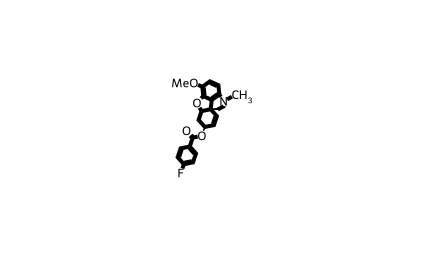 COc1ccc2c3c1OC1C[C@@H](OC(=O)c4ccc(F)cc4)C=C[C@@]31CCN2C